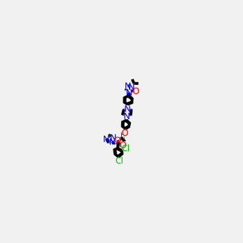 CC(C)n1ncn(-c2ccc(N3CCN(c4ccc(OC[C@@H]5CO[C@@](Cn6cncn6)(c6ccc(Cl)cc6Cl)O5)cc4)CC3)cc2)c1=O